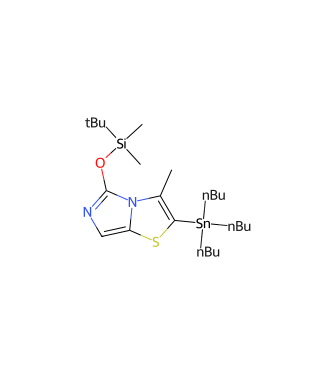 CCC[CH2][Sn]([CH2]CCC)([CH2]CCC)[c]1sc2cnc(O[Si](C)(C)C(C)(C)C)n2c1C